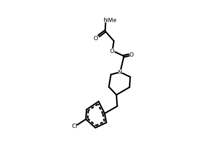 CNC(=O)COC(=O)N1CCC(Cc2ccc(Cl)cc2)CC1